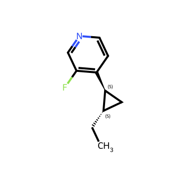 CC[C@H]1C[C@@H]1c1ccncc1F